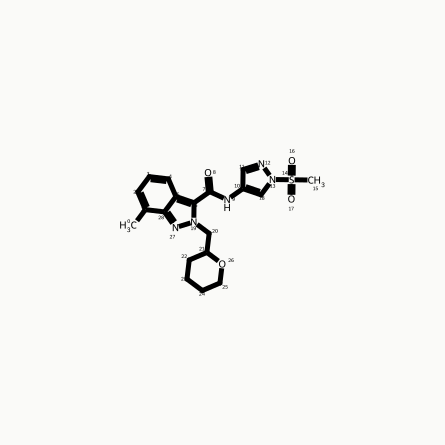 Cc1cccc2c(C(=O)Nc3cnn(S(C)(=O)=O)c3)n(CC3CCCCO3)nc12